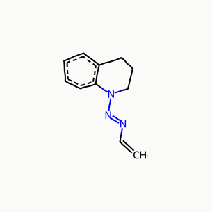 [CH]=CN=NN1CCCc2ccccc21